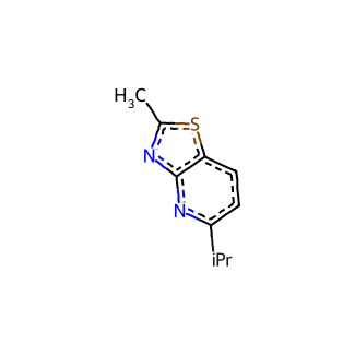 Cc1nc2nc(C(C)C)ccc2s1